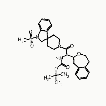 CC(C)(C)OC(=O)NC(C(=O)N1CCC2(CC1)CN(S(C)(=O)=O)c1ccccc12)C1Cc2ccccc2CCO1